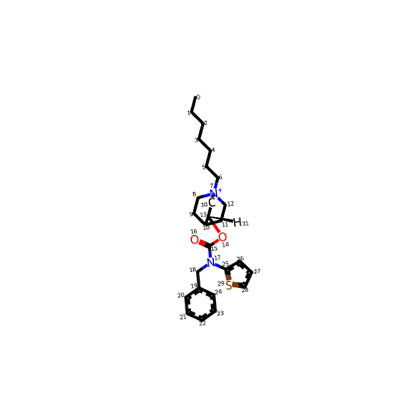 CCCCCCC[N+]12CCC(CC1)[C@@H](OC(=O)N(Cc1ccccc1)c1cccs1)C2